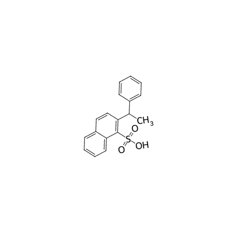 CC(c1ccccc1)c1ccc2ccccc2c1S(=O)(=O)O